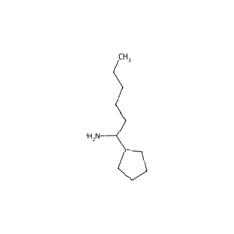 CCCCCC(N)C1CCCC1